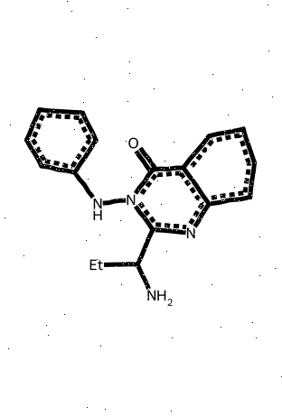 CCC(N)c1nc2ccccc2c(=O)n1Nc1ccccc1